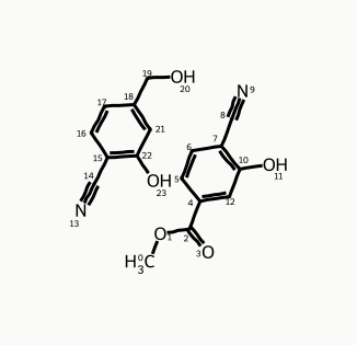 COC(=O)c1ccc(C#N)c(O)c1.N#Cc1ccc(CO)cc1O